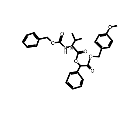 COc1ccc(COC(=O)C(OC(=O)[C@@H](NC(=O)OCc2ccccc2)C(C)C)c2ccccc2)cc1